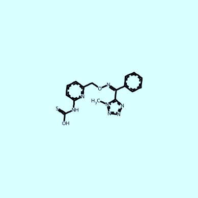 Cn1nnnc1C(=NOCc1cccc(NC(O)=S)n1)c1ccccc1